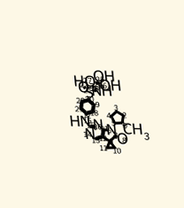 CC1CCCC1N1C(=O)C2(CC2)c2cnc(Nc3ccc([S+]([O-])NC(O)(O)O)cc3)nc21